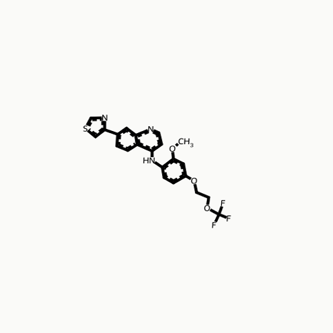 COc1cc(OCCOC(F)(F)F)ccc1Nc1ccnc2cc(-c3cscn3)ccc12